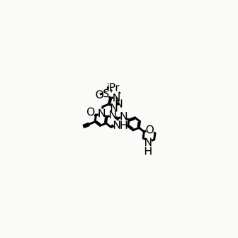 C#Cc1cc2cnc(Nc3ccc(C4CNCCO4)cc3)nc2n(Cc2nnn(C)c2[S+]([O-])C(C)C)c1=O